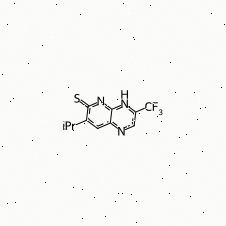 CC(C)c1cc2ncc(C(F)(F)F)[nH]c-2nc1=S